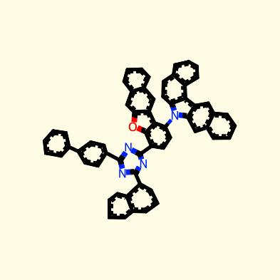 c1ccc(-c2ccc(-c3nc(-c4cccc5ccccc45)nc(-c4ccc(-n5c6cc7ccccc7cc6c6c7ccccc7ccc65)c5c4oc4cc6ccccc6cc45)n3)cc2)cc1